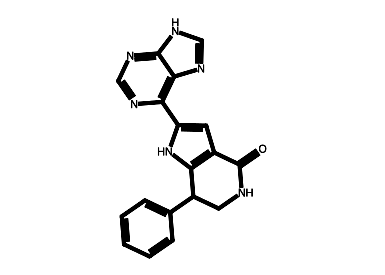 O=C1NCC(c2ccccc2)c2[nH]c(-c3ncnc4[nH]cnc34)cc21